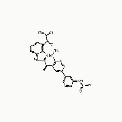 C=C(c1nc2c(C(=O)N(CC)CC)cccc2[nH]1)c1cc(-c2cncc(NC(=O)CC)c2)cnc1NN